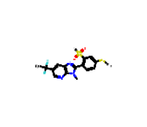 CCS(=O)(=O)c1cc(SC(F)(F)F)ccc1-c1nc2cc(C(F)(F)C(F)(F)F)cnc2n1C